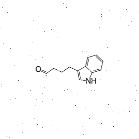 O=[C]CCCc1c[nH]c2ccccc12